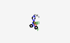 CN1CCCN(CCN2c3ccccc3N(c3ccc(F)cc3F)S2(=O)=O)CC1.Cl.Cl